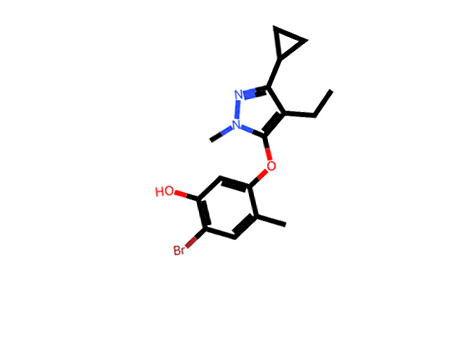 CCc1c(C2CC2)nn(C)c1Oc1cc(O)c(Br)cc1C